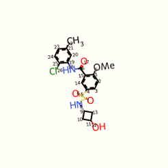 COc1ccc(S(=O)(=O)N[C@H]2C[C@H](O)C2)cc1C(=O)Nc1cc(C)ccc1Cl